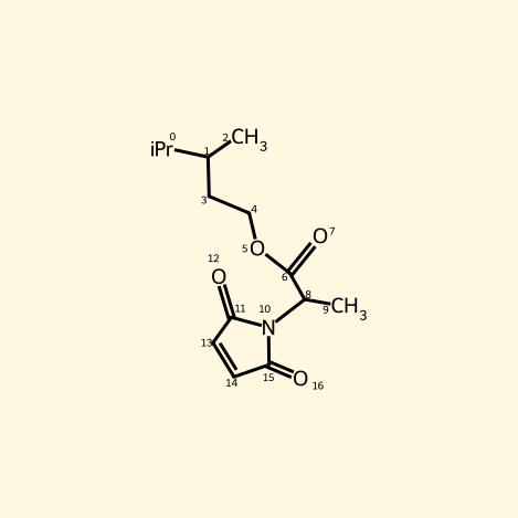 CC(C)C(C)CCOC(=O)C(C)N1C(=O)C=CC1=O